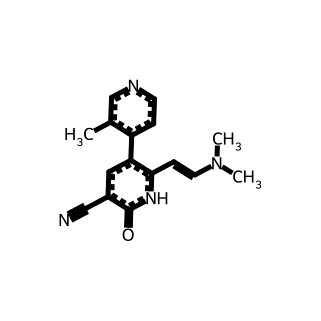 Cc1cnccc1-c1cc(C#N)c(=O)[nH]c1C=CN(C)C